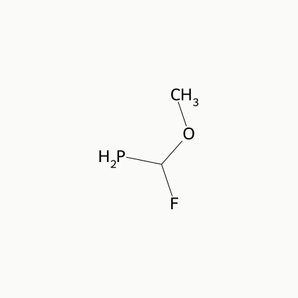 COC(F)P